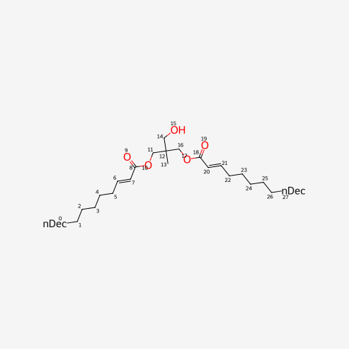 CCCCCCCCCCCCCCC/C=C/C(=O)OCC(C)(CO)COC(=O)/C=C/CCCCCCCCCCCCCCC